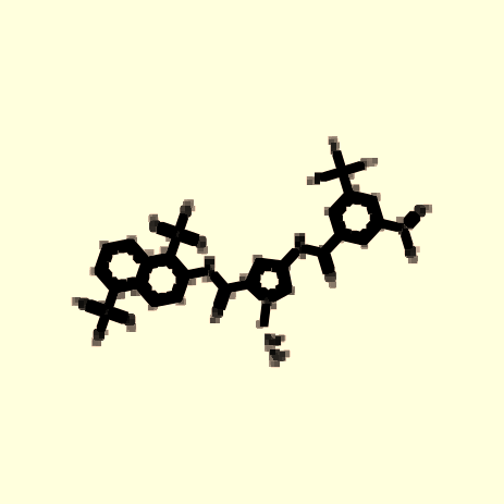 Cn1cc(NC(=O)c2cc([N+](=O)[O-])cc(C(F)(F)F)c2)cc1C(=O)Nc1ccc2c(S(=O)(=O)[O-])cccc2c1S(=O)(=O)[O-].[Na+].[Na+]